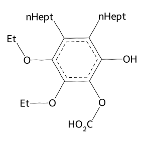 CCCCCCCc1c(O)c(OC(=O)O)c(OCC)c(OCC)c1CCCCCCC